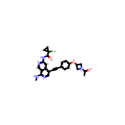 CNc1ncc(C#Cc2ccc(OC3CN(C(C)=O)C3)cc2)c2cc(NC(=O)C3(F)CC3)ncc12